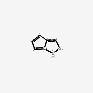 B1OC=C2C=CC=[N+]12